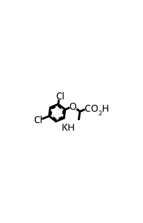 CC(Oc1ccc(Cl)cc1Cl)C(=O)O.[KH]